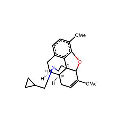 COC1=CC[C@H]2[C@H]3Cc4ccc(OC)c5c4[C@@]2(CCN3CC2CC2)C1O5